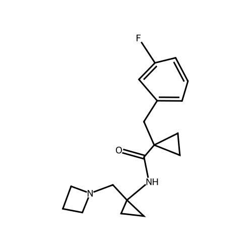 O=C(NC1(CN2CCC2)CC1)C1(Cc2cccc(F)c2)CC1